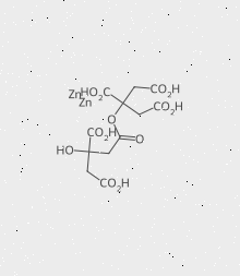 O=C(O)CC(O)(CC(=O)OC(CC(=O)O)(CC(=O)O)C(=O)O)C(=O)O.[Zn].[Zn]